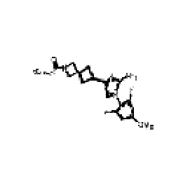 COc1cc(F)c(-n2cc(C3CC4(C3)CN(C(=O)OC(C)(C)C)C4)nc2N)c(F)c1